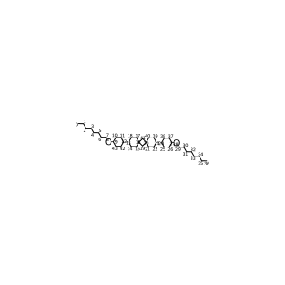 CCCCCCCCO[C@H]1CC[C@H](C2CCC3(CC2)CC2(CCC([C@H]4CC[C@H](OCCCCCCCC)CC4)CC2)C3)CC1